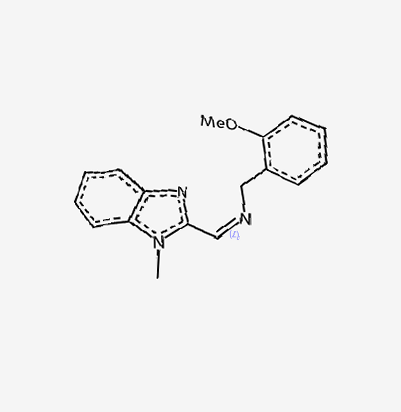 COc1ccccc1C/N=C\c1nc2ccccc2n1C